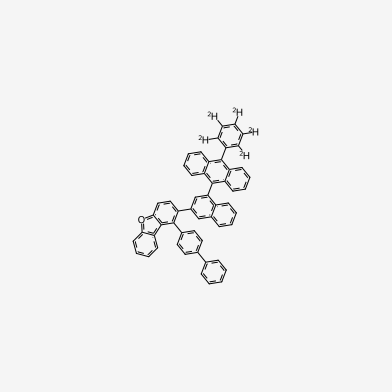 [2H]c1c([2H])c([2H])c(-c2c3ccccc3c(-c3cc(-c4ccc5oc6ccccc6c5c4-c4ccc(-c5ccccc5)cc4)cc4ccccc34)c3ccccc23)c([2H])c1[2H]